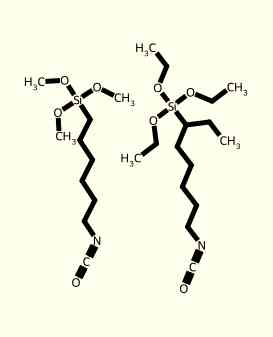 CCO[Si](OCC)(OCC)C(CC)CCCCCN=C=O.CO[Si](CCCCCCN=C=O)(OC)OC